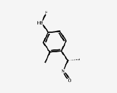 Cc1cc(BF)ccc1[C@H](C)N=O